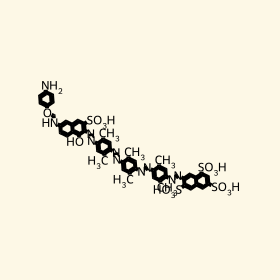 Cc1cc(N=Nc2cc(C)c(N=Nc3c(S(=O)(=O)O)cc4cc(NCOc5ccc(N)cc5)ccc4c3O)cc2C)c(C)cc1N=Nc1cc(C)c(N=Nc2cc3c(S(=O)(=O)O)cc(S(=O)(=O)O)cc3cc2S(=O)(=O)O)cc1C